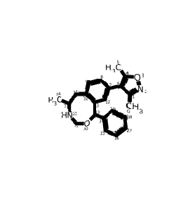 Cc1noc(C)c1-c1ccc2c(c1)C(c1ccccc1)OCNC(C)C2